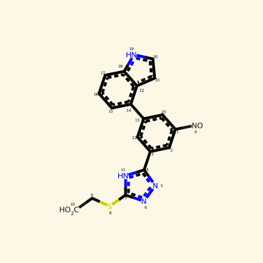 O=Nc1cc(-c2nnc(SCC(=O)O)[nH]2)cc(-c2cccc3[nH]ccc23)c1